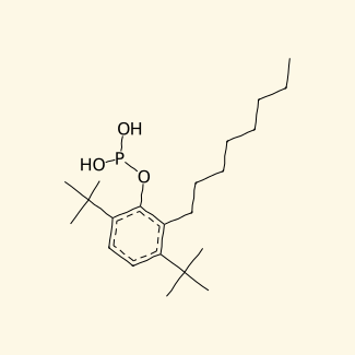 CCCCCCCCc1c(C(C)(C)C)ccc(C(C)(C)C)c1OP(O)O